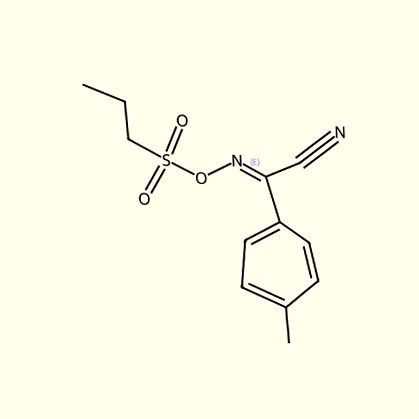 CCCS(=O)(=O)O/N=C(/C#N)c1ccc(C)cc1